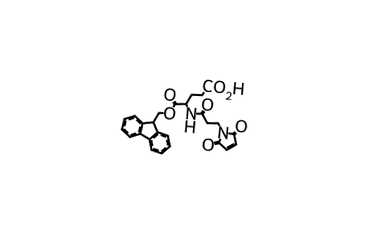 O=C(O)CCC(NC(=O)CCN1C(=O)C=CC1=O)C(=O)OCC1c2ccccc2-c2ccccc21